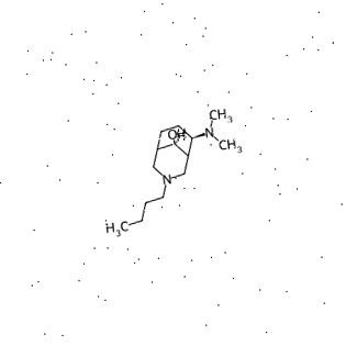 CCCCN1CC2CC[C@@H](N(C)C)C(C1)[C@@H]2O